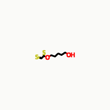 OCCCCCOC(=S)C=S